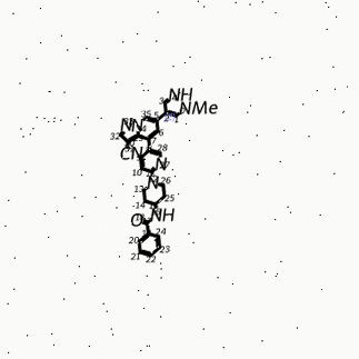 CN/C=C(\C=N)c1cc(-c2ccc(N3CCC(NC(=O)c4ccccc4)CC3)nc2)c2c(C#N)cnn2c1